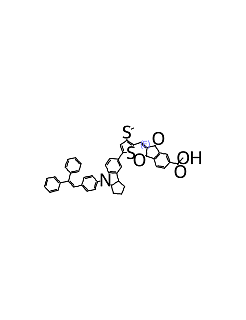 CSc1cc(-c2ccc3c(c2)C2CCCC2N3c2ccc(C=C(c3ccccc3)c3ccccc3)cc2)sc1/C=C1\C(=O)c2ccc(C(=O)O)cc2C1=O